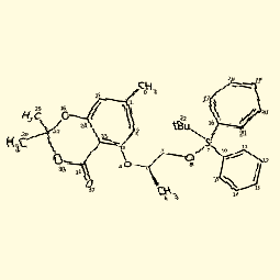 Cc1cc(O[C@H](C)CO[Si](c2ccccc2)(c2ccccc2)C(C)(C)C)c2c(c1)OC(C)(C)OC2=O